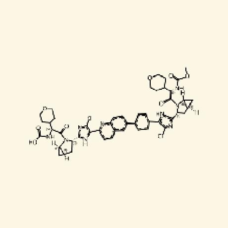 COC(=O)N[C@H](C(=O)N1[C@@H]2C[C@H]2C[C@H]1c1nc(Cl)c(-c2ccc(-c3ccc4nc(-c5[nH]c([C@@H]6C[C@H]7C[C@H]7N6C(=O)[C@@H](NC(=O)O)C6CCOCC6)nc5Cl)ccc4c3)cc2)[nH]1)C1CCOCC1